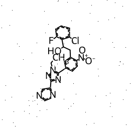 CCn1nc(-c2cnccn2)nc1-c1ccc([N+](=O)[O-])c(CC(O)c2c(F)cccc2Cl)c1